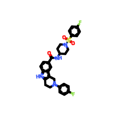 O=C(NC1CCN(S(=O)(=O)c2ccc(F)cc2)CC1)c1ccc2[nH]c3c(c2c1)CN(c1ccc(F)cc1)CC3